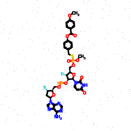 COc1ccc(C(=O)Oc2ccc(CSP(=O)(OC)OC[C@H]3O[C@@H](n4ccc(=O)[nH]c4=O)[C@H](OPOC[C@H]4O[C@@H](n5cnc6c(N)ncnc65)C[C@@H]4F)[C@@H]3F)cc2)cc1